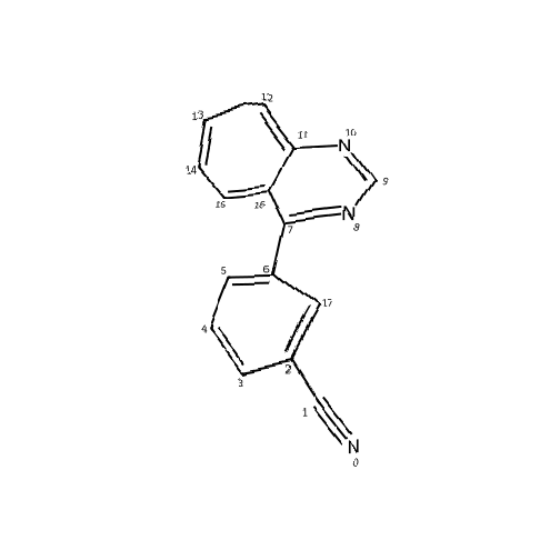 N#Cc1cccc(-c2ncnc3ccccc23)c1